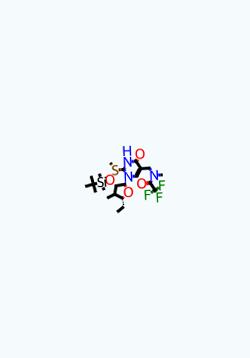 CC[C@H]1O[C@@H](N2C=C(CN(C)C(=O)C(F)(F)F)C(=O)NC2SC)[C@@H](O[Si](C)(C)C(C)(C)C)C1C